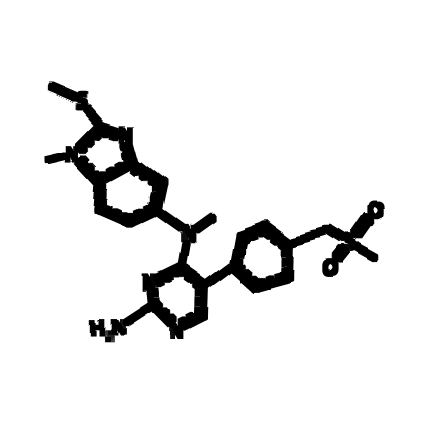 CSc1nc2cc(N(C)c3nc(N)ncc3-c3ccc(CS(C)(=O)=O)cc3)ccc2n1C